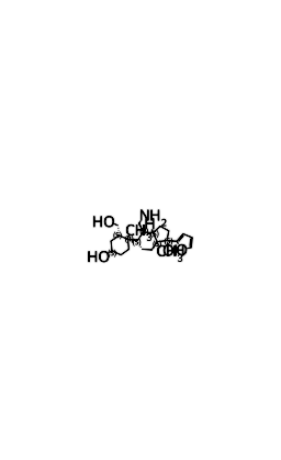 C[C@]1([C@H]2CC[C@@]3(C)[C@@H](CC[C@@]3(O)c3ccco3)[C@@H]2CN)CC[C@H](O)C[C@@H]1CO